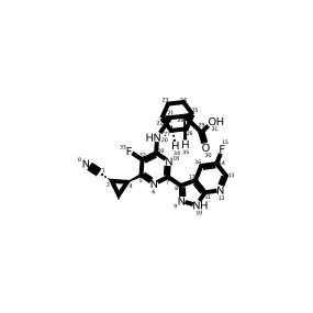 N#C[C@H]1C[C@@H]1c1nc(-c2n[nH]c3ncc(F)cc23)nc(N[C@H]2C3CCC(CC3)[C@@H]2C(=O)O)c1F